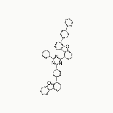 c1ccc(-c2ccc(-c3cccc4c3oc3cccc(-c5nc(-c6ccccc6)nc(-c6ccc(-c7cccc8c7oc7ccccc78)cc6)n5)c34)cc2)cc1